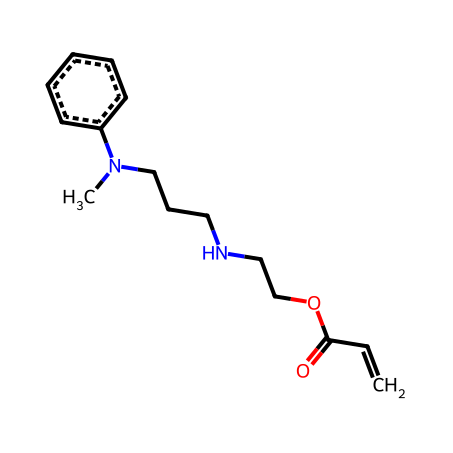 C=CC(=O)OCCNCCCN(C)c1ccccc1